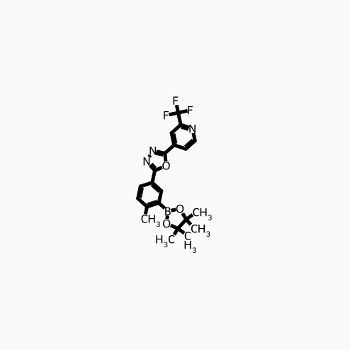 Cc1ccc(-c2nnc(-c3ccnc(C(F)(F)F)c3)o2)cc1B1OC(C)(C)C(C)(C)O1